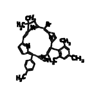 Cc1ccc(C2=C3C=CC(=N3)C=C3N=C(CC3(C)C)C(Br)=C3C=CC(=N3)C(c3c(C)cc(C)cc3C)=C3C=CC2=N3)cc1